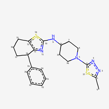 Cc1nnc(N2CCC(Nc3nc4c(s3)CCCC4c3ccccc3)CC2)s1